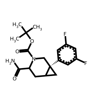 CC(C)(C)OC(=O)N1C[C@@]2(c3cc(F)cc(F)c3)CC2CC1C(N)=O